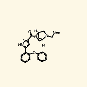 C=NCN1C[C@H]2C[C@@H]1CN2C(=O)c1cc(-c2ccccc2Oc2ccccc2)[nH]n1